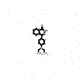 CCN(CC)c1ccc(-c2n[nH]c(=O)c3ccccc23)cc1